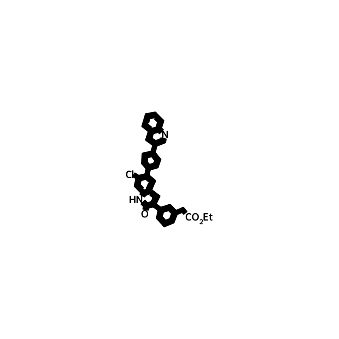 CCOC(=O)Cc1cccc(-c2cc3cc(-c4ccc(-c5cnc6ccccc6c5)cc4)c(Cl)cc3[nH]c2=O)c1